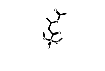 COP(=O)(OC)C(=O)CC(C)SC(C)=O